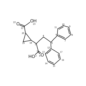 O=C(O)C(CC(c1ccccc1)c1ccccc1)C1CC1C(=O)O